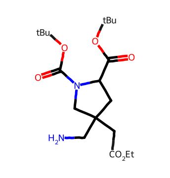 CCOC(=O)CC1(CN)CC(C(=O)OC(C)(C)C)N(C(=O)OC(C)(C)C)C1